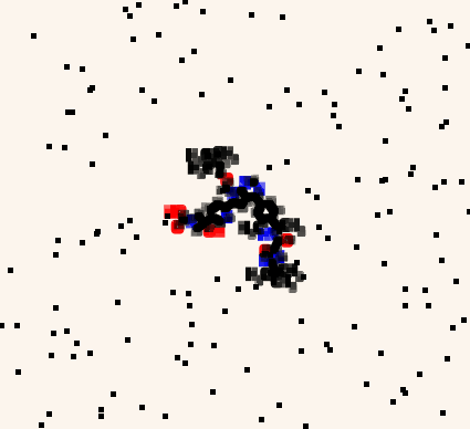 Cc1cc(-c2ncnc3c2cc(-c2ccc(C4(O)CN(C(=O)O)C4)cn2)n3COCC[Si](C)(C)C)ccc1C(C)NC(=O)c1nc(C(C)(C)C)no1